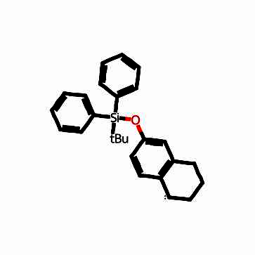 CC(C)(C)[Si](Oc1ccc2c(c1)CCC[C]2)(c1ccccc1)c1ccccc1